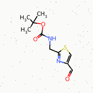 CC(C)(C)OC(=O)NCc1nc(C=O)cs1